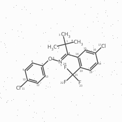 CC(C)(C)/C(=N\Oc1ccc(Cl)cc1)c1cc(Cl)ccc1C(F)(F)F